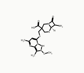 CON1NN2C(SCC3(C(=O)O)CS[C@@H]4C(N)C(=O)N4C3)=CC(C)=NC2=C1C